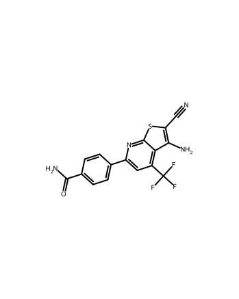 N#Cc1sc2nc(-c3ccc(C(N)=O)cc3)cc(C(F)(F)F)c2c1N